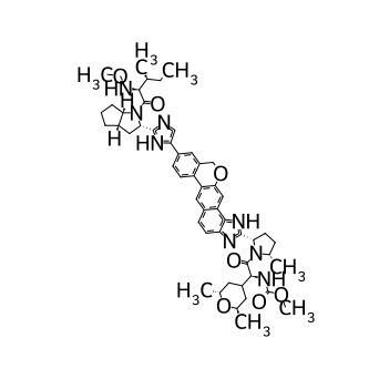 CC[C@H](C)[C@H](NOC)C(=O)N1[C@H](c2ncc(-c3ccc4c(c3)COc3cc5c(ccc6nc([C@@H]7CC[C@H](C)N7C(=O)[C@@H](NC(=O)OC)C7C[C@@H](C)O[C@H](C)C7)[nH]c65)cc3-4)[nH]2)C[C@@H]2CCC[C@@H]21